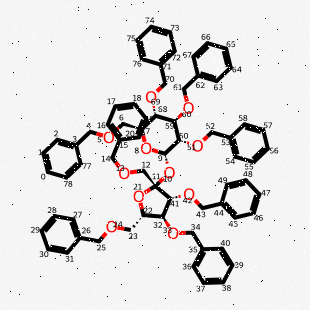 c1ccc(COC[C@@H]2O[C@@H](O[C@@]3(COCc4ccccc4)O[C@@H](COCc4ccccc4)[C@H](OCc4ccccc4)[C@H]3OCc3ccccc3)[C@@H](OCc3ccccc3)[C@H](OCc3ccccc3)[C@H]2OCc2ccccc2)cc1